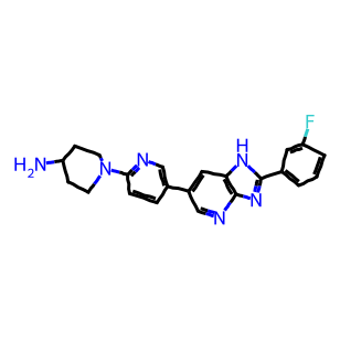 NC1CCN(c2ccc(-c3cnc4nc(-c5cccc(F)c5)[nH]c4c3)cn2)CC1